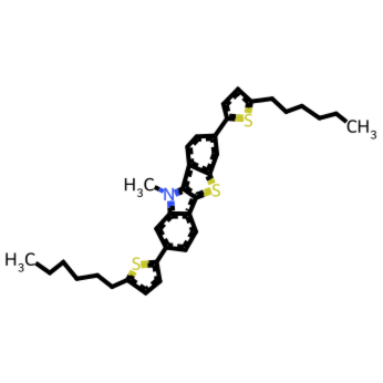 CCCCCCc1ccc(-c2ccc3c(c2)sc2c4ccc(-c5ccc(CCCCCC)s5)cc4n(C)c32)s1